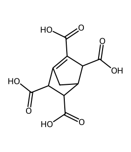 O=C(O)C1=C2CC(C1C(=O)O)C(C(=O)O)C2C(=O)O